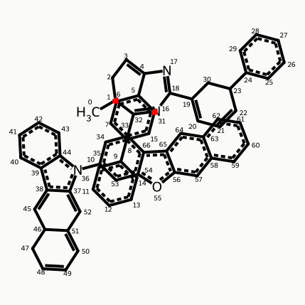 CC1C/C=C(c2ccc(-c3ccccc3)cc2)/N=C(C2=CC=CC(c3ccccc3)C2)\N=C/1c1cc(-n2c3c(c4ccccc42)=CC2CC=CC=C2C=3)cc2oc3cc4ccccc4cc3c12